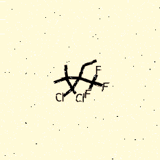 CCC1(C(F)(F)F)C(C)(C)C1(Cl)Cl